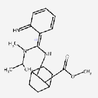 COC(=O)C1C2CCC(CC2)C1N/C(=C1\C=CC=CC1=N)N(C)C(C)C